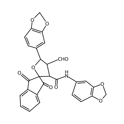 O=CC1C(c2ccc3c(c2)OCO3)OC2(C(=O)c3ccccc3C2=O)C1C(=O)Nc1ccc2c(c1)OCO2